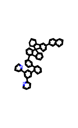 C1=CC2=C(CC1)C1(c3ccc(-c4ccc5ccccc5c4)cc32)c2ccccc2-c2c(-c3cccc(-c4ccccc4-c4cc(-c5ccccn5)cc(-c5ccccn5)c4)c3)cccc21